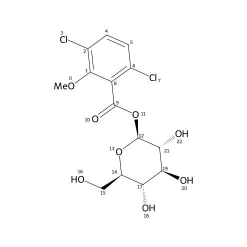 COc1c(Cl)ccc(Cl)c1C(=O)O[C@@H]1O[C@H](CO)[C@@H](O)[C@H](O)[C@H]1O